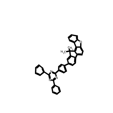 CC1(C)c2cc(-c3ccc(-c4nc(-c5ccccc5)nc(-c5ccccc5)n4)cc3)ccc2-c2ccc3oc4ccccc4c3c21